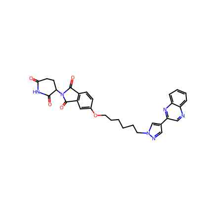 O=C1CCC(N2C(=O)c3ccc(OCCCCCCn4cc(-c5cnc6ccccc6n5)cn4)cc3C2=O)C(=O)N1